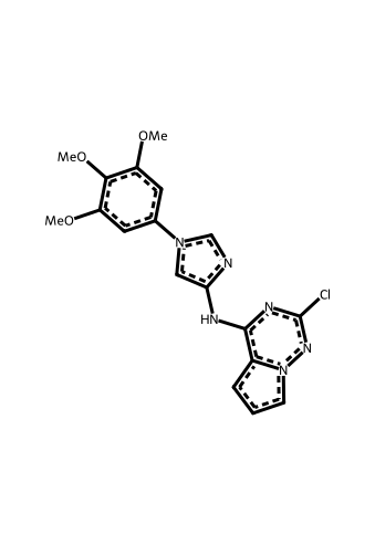 COc1cc(-n2cnc(Nc3nc(Cl)nn4cccc34)c2)cc(OC)c1OC